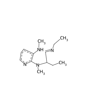 CCN=CC(CC)N(C)c1ncccc1NC